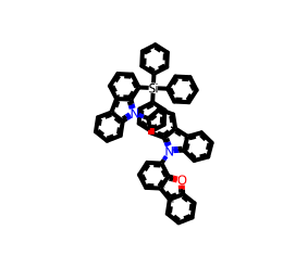 c1ccc([Si](c2ccccc2)(c2ccccc2)c2cccc3c4ccccc4n(-c4ccc5c6ccccc6n(-c6cccc7c6oc6ccccc67)c5c4)c23)cc1